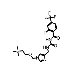 C[Si](C)(C)CCOCn1cnc(CNC(=O)NC(=O)c2ccc(C(F)(F)F)cc2F)c1